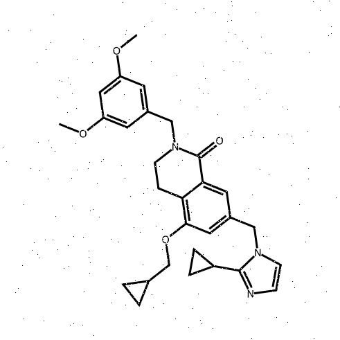 COc1cc(CN2CCc3c(OCC4CC4)cc(Cn4ccnc4C4CC4)cc3C2=O)cc(OC)c1